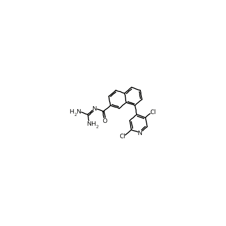 NC(N)=NC(=O)c1ccc2cccc(-c3cc(Cl)ncc3Cl)c2c1